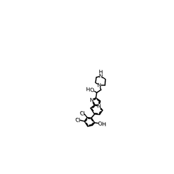 Oc1ccc(Cl)c(Cl)c1-c1ccn2cc(C(O)CN3CCNCC3)nc2c1